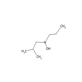 CCCN(O)CC(C)C